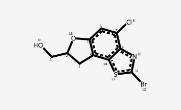 OCC1Cc2c(cc(Cl)c3nc(Br)sc23)O1